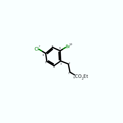 CCOC(=O)CCc1ccc(Cl)cc1Br